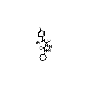 Cc1ccc(N(C(=O)n2nnn(C3=CCCCC3)c2=O)C(C)C)cc1